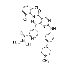 CN1CCN(c2ccc(Nc3ncc4c(=O)n(-c5c(Cl)cccc5Cl)nc(-c5ccnc(C(=O)N(C)C)c5)c4n3)cc2)CC1